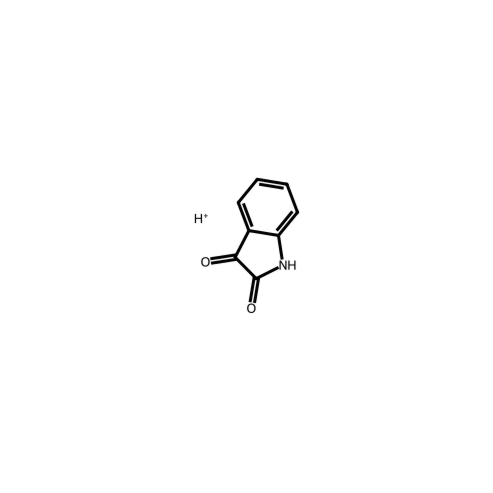 O=C1Nc2ccccc2C1=O.[H+]